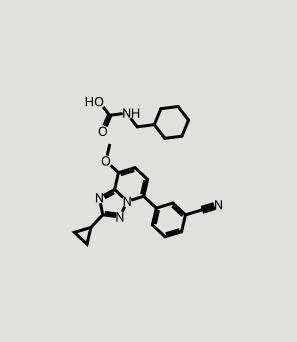 COc1ccc(-c2cccc(C#N)c2)n2nc(C3CC3)nc12.O=C(O)NCC1CCCCC1